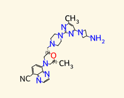 Cc1cc(N2CC(N)C2)nc(N2CCN(C[C@H]3CN(c4ccc(C#N)c5nccnc45)C[C@@H](C)O3)CC2)n1